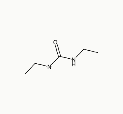 CC[N]C(=O)NCC